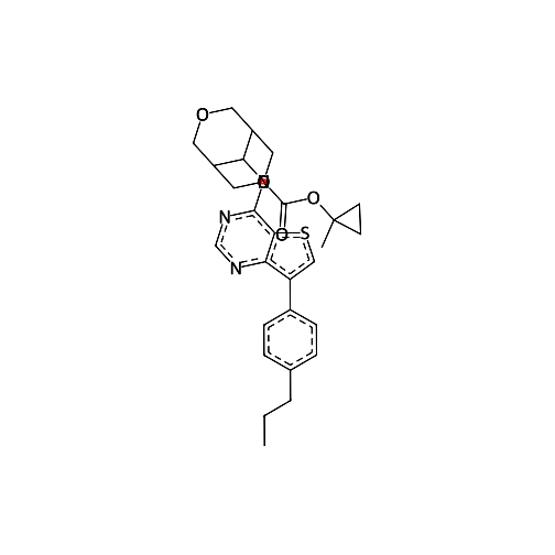 CCCc1ccc(-c2csc3c(OC4C5COCC4CN(C(=O)OC4(C)CC4)C5)ncnc23)cc1